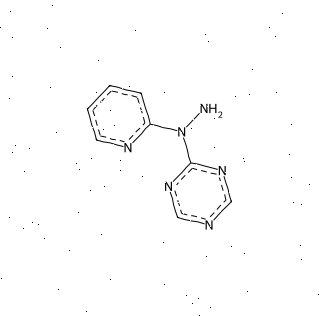 NN(c1ccccn1)c1ncncn1